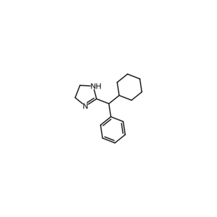 c1ccc(C(C2=NCCN2)C2CCCCC2)cc1